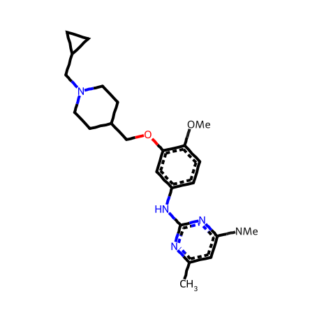 CNc1cc(C)nc(Nc2ccc(OC)c(OCC3CCN(CC4CC4)CC3)c2)n1